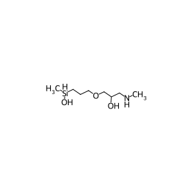 CNCC(O)COCCC[SiH](C)O